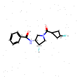 O=C(N[C@@H]1CN(C(=O)C2CC(F)C2)C[C@@H]1F)c1ccccc1